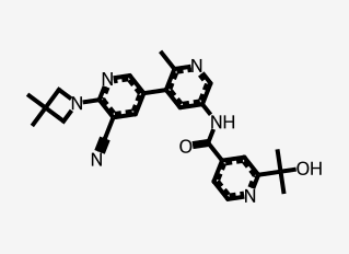 Cc1ncc(NC(=O)c2ccnc(C(C)(C)O)c2)cc1-c1cnc(N2CC(C)(C)C2)c(C#N)c1